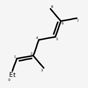 [CH2]C/C=C(\C)CC=C(C)C